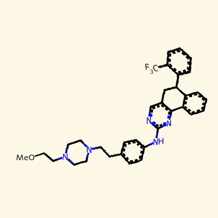 COCCN1CCN(CCc2ccc(Nc3ncc4c(n3)-c3ccccc3C(c3ccccc3C(F)(F)F)C4)cc2)CC1